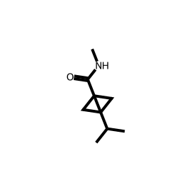 CNC(=O)C12CC1(C(C)C)C2